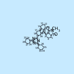 CN1C(=O)c2cccc(-n3c4ccccc4c4ccc(-c5nc(-c6ccccc6)nc(-c6ccccc6)n5)cc43)c2C1=O